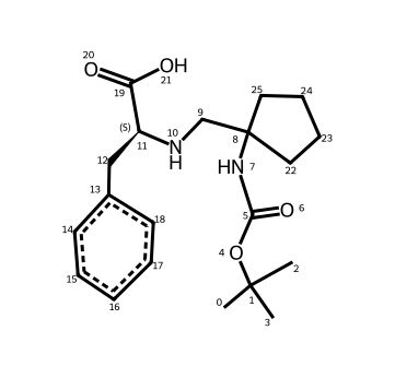 CC(C)(C)OC(=O)NC1(CN[C@@H](Cc2ccccc2)C(=O)O)CCCC1